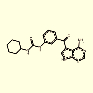 Nc1ncnc2[nH]cc(C(=O)c3cccc(NC(=O)NC4CCCCC4)c3)c12